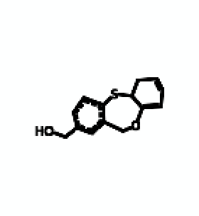 OCc1ccc2c(c1)COC1=CC=CCC1S2